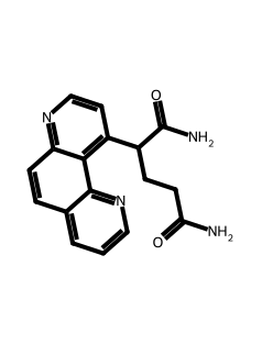 NC(=O)CCC(C(N)=O)c1ccnc2ccc3cccnc3c12